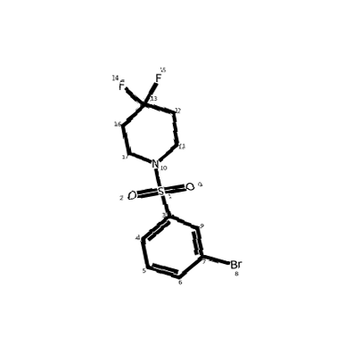 O=S(=O)(c1cccc(Br)c1)N1CCC(F)(F)CC1